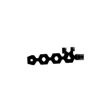 Oc1ccc(C2CCC(C3CCC(C4CCCC4)CC3)CC2)c(F)c1F